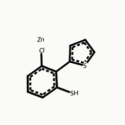 Sc1cccc(Cl)c1-c1cccs1.[Zn]